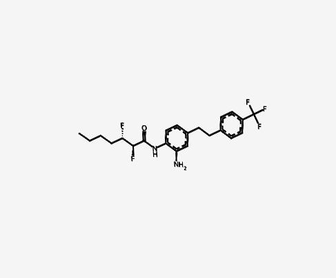 CCCC[C@H](F)[C@H](F)C(=O)Nc1ccc(CCc2ccc(C(F)(F)F)cc2)cc1N